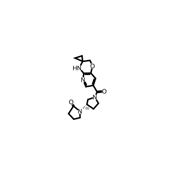 O=C(c1cnc2c(c1)OCC1(CC1)N2)N1CC[C@H](N2CCCC2=O)C1